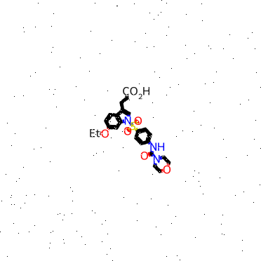 CCOc1ccc2c(CCC(=O)O)cn(S(=O)(=O)c3ccc(NC(=O)N4CCOCC4)cc3)c2c1